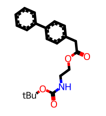 CC(C)(C)OC(=O)NCCOC(=O)Cc1ccc(-c2ccccc2)cc1